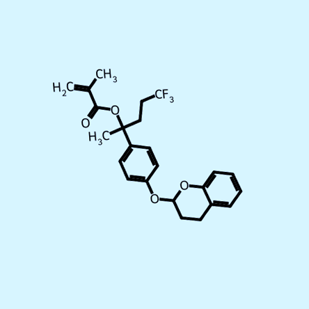 C=C(C)C(=O)OC(C)(CCC(F)(F)F)c1ccc(OC2CCc3ccccc3O2)cc1